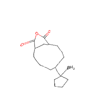 BC1(C2CCCC3CC(CCC2)C(=O)OC3=O)CCCC1